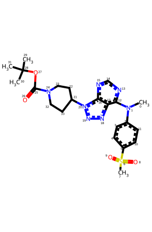 CN(c1ccc(S(C)(=O)=O)cc1)c1ncnc2c1nnn2C1CCN(C(=O)OC(C)(C)C)CC1